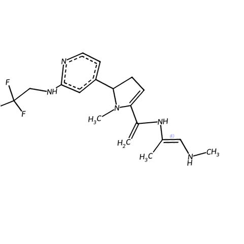 C=C(N/C(C)=C/NC)C1=CCC(c2ccnc(NCC(F)(F)F)c2)N1C